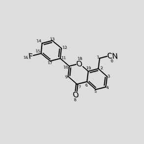 N#CCc1cccc2c(=O)cc(-c3cccc(F)c3)oc12